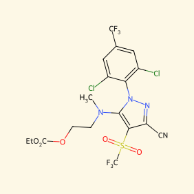 CCOC(=O)OCCN(C)c1c(S(=O)(=O)C(F)(F)F)c(C#N)nn1-c1c(Cl)cc(C(F)(F)F)cc1Cl